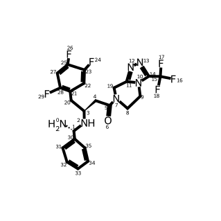 N[C@H](N[C@H](CC(=O)N1CCn2c(nnc2C(F)(F)F)C1)Cc1cc(F)c(F)cc1F)c1ccccc1